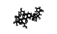 CCCOc1ccc(S(=O)(=O)NC(C)(C)CC2CCCN2C)cc1C(=O)Nc1c(CCC)nn(C(C)(C)C)c1C(N)=O